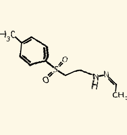 C/C=N\NCCS(=O)(=O)c1ccc(C)cc1